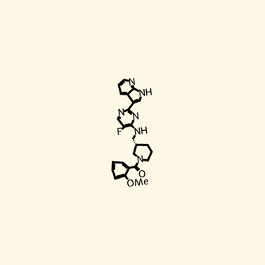 COc1ccccc1C(=O)N1CCC[C@@H](CNc2nc(-c3c[nH]c4ncccc34)ncc2F)C1